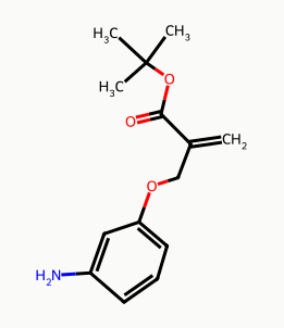 C=C(COc1cccc(N)c1)C(=O)OC(C)(C)C